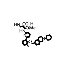 CO/C(Nc1cccc(-c2cccc(C)c2OCc2ccc3c(c2)CCN(C2CCCCC2)C3)n1)=C(/C=N)C(=O)O